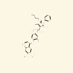 CCC(=O)Cn1c(C)c(C(=O)Nc2ccc(Oc3ccnc4cc(OC)c(OC)cc34)c(F)c2)c(=O)n1-c1ccccc1